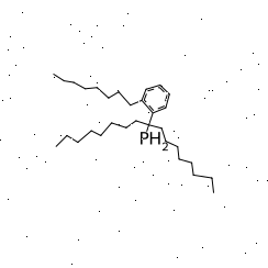 CCCCCCCCc1ccccc1C(P)(CCCCCCCC)CCCCCCCC